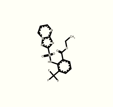 CCOC(=O)c1cccc(C(F)(F)F)c1NS(=O)(=O)c1nc2ncccn2n1